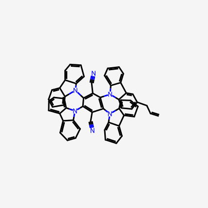 C=CCc1ccc2c(c1)c1ccccc1n2-c1c(C#N)c(-n2c3ccccc3c3ccccc32)c(-n2c3ccccc3c3ccccc32)c(C#N)c1-n1c2ccccc2c2ccccc21